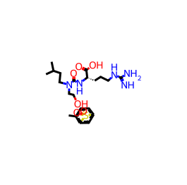 CC(C)CCN(CCO)C(=O)N[C@@H](CCCNC(=N)N)C(=O)O.Cc1ccc2cc1S2(=O)=O